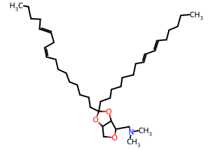 CCCC/C=C/C/C=C\CCCCCCCCC1(CCCCCCC/C=C/C=C/CCCCC)OC2COC(CN(C)C)C2O1